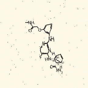 CNC(=O)COc1cccc(Nc2ncc(F)c(N[C@H]3[C@@H](C(N)=O)[C@@H]4C=C[C@H]3C4)n2)c1